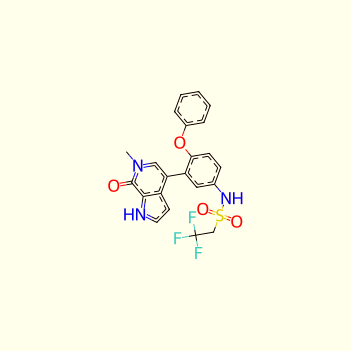 Cn1cc(-c2cc(NS(=O)(=O)CC(F)(F)F)ccc2Oc2ccccc2)c2cc[nH]c2c1=O